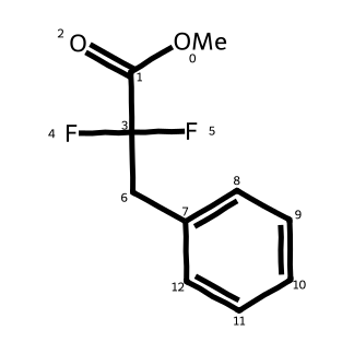 COC(=O)C(F)(F)Cc1ccccc1